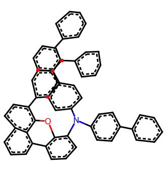 c1ccc(C[C@H](c2ccccc2)c2ccc(-c3ccc4cccc5c4c3Oc3c-5cccc3N(c3ccc(-c4ccccc4)cc3)c3ccc(-c4ccccc4)cc3)cc2)cc1